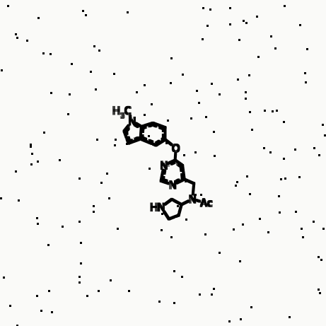 CC(=O)N(Cc1cc(Oc2ccc3c(ccn3C)c2)ncn1)C1CCNC1